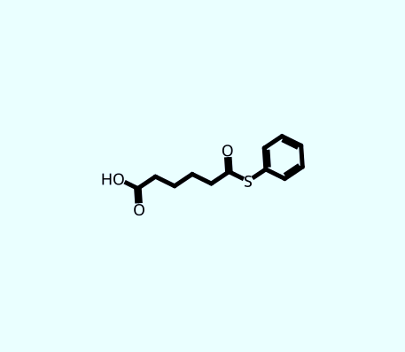 O=C(O)CCCCC(=O)Sc1ccccc1